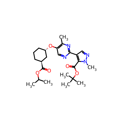 Cc1nc(-c2cnn(C)c2C(=O)OC(C)(C)C)ncc1O[C@H]1CCC[C@H](C(=O)OC(C)C)C1